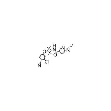 CCCN(C)c1ccc(C(=O)N[C@H]2C(C)(C)[C@H](Oc3ccc(C#N)c(Cl)c3)C2(C)C)cn1